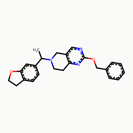 CC(c1ccc2c(c1)OCC2)N1CCc2nc(OCc3ccccc3)ncc2C1